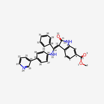 COC(=O)c1ccc2c(c1)NC(=O)C2=C(Nc1ccc(-c2cccnc2)cc1)c1ccccc1